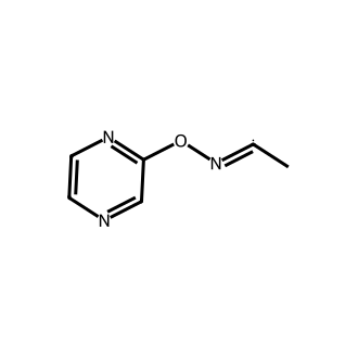 C[C]=NOc1cnccn1